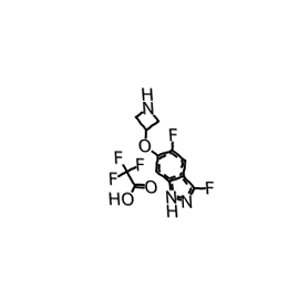 Fc1cc2c(F)n[nH]c2cc1OC1CNC1.O=C(O)C(F)(F)F